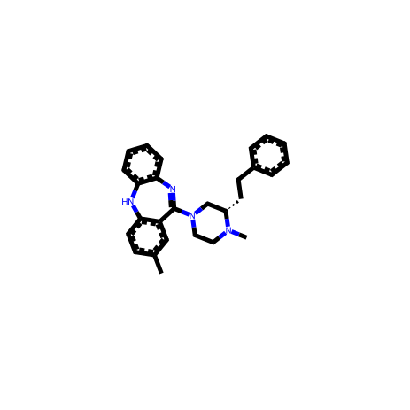 Cc1ccc2c(c1)C(N1CCN(C)[C@@H](CCc3ccccc3)C1)=Nc1ccccc1N2